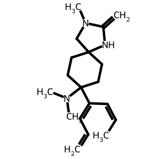 C=C/C=C(\C=C/C)C1(N(C)C)CCC2(CC1)CN(C)C(=C)N2